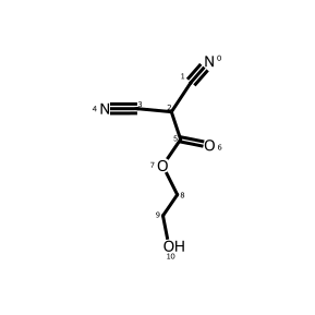 N#CC(C#N)C(=O)OCCO